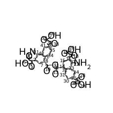 Nc1c(S(=O)(=O)O)cc(C(=O)OC(=O)c2cc(S(=O)(=O)O)c(N)c3cc(S(=O)(=O)O)ccc23)c2ccc(S(=O)(=O)O)cc12